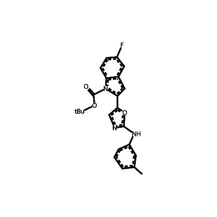 Cc1cccc(Nc2ncc(-c3cc4cc(F)ccc4n3C(=O)OC(C)(C)C)o2)c1